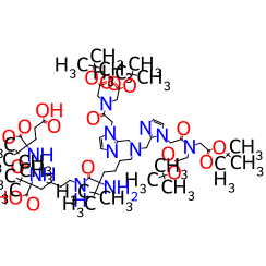 CC(C)(C)OC(=O)CN(CC(=O)OC(C)(C)C)C(=O)Cn1ccnc1CN(CCCCC(N)(C(=O)NCCCCC(NC(=O)NC(CCC(=O)O)(C(=O)O)C(C)(C)C)(C(=O)O)C(C)(C)C)C(C)(C)C)Cc1nccn1CC(=O)N(CC(=O)OC(C)(C)C)CC(=O)OC(C)(C)C